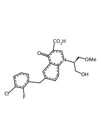 COC[C@@H](CO)n1cc(C(=O)O)c(=O)c2cc(Cc3cccc(Cl)c3F)ccc21